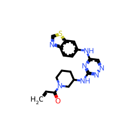 C=CC(=O)N1CCCC(Nc2nncc(Nc3ccc4ncsc4c3)n2)C1